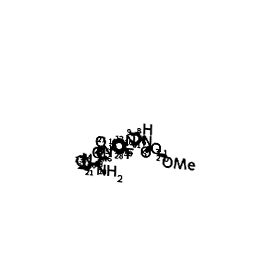 COCCOC(=O)NC1CCN(c2ccc(N3CC([C@@H](N)c4ccon4)OC3=O)cc2F)C1